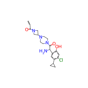 C=CC(=O)N1CC(N2CCN(C(=O)C(N)c3cc(C4CC4)c(Cl)cc3O)CC2)C1